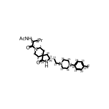 CC(=O)N[C@H](C(=O)N1CCC2(CC1)C[C@H](CCN1CCN(c3ccc(F)cc3)CC1)NC2=O)C(C)C